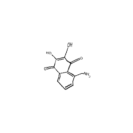 Nc1cccc2c1C(=O)C(O)=C(O)C2=O